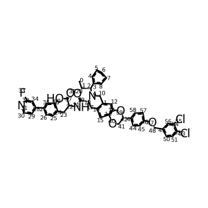 CC[C@@H](c1ccccc1)N1Cc2cc3c(cc2C[C@H]1C(=O)NC(Cc1ccc(-c2ccnc(F)c2)cc1)C(=O)O)OC[C@H](c1ccc(OCc2ccc(Cl)c(Cl)c2)cc1)O3